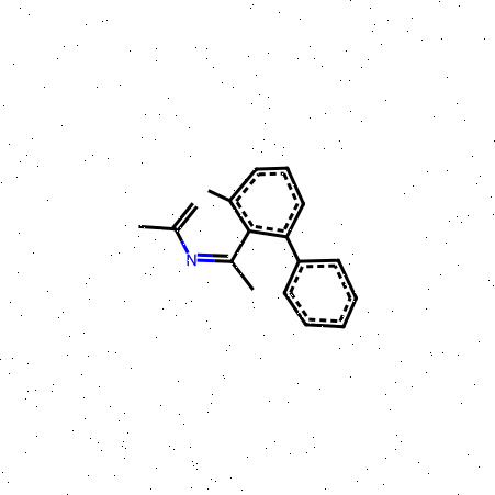 C=C(C)/N=C(/C)c1c(C)cccc1-c1ccccc1